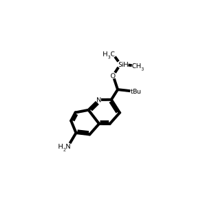 C[SiH](C)OC(c1ccc2cc(N)ccc2n1)C(C)(C)C